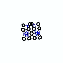 c1ccc(-c2nc(-c3ccccc3)nc(-c3c(-c4ccccc4)c(-c4ccccc4)c(-c4nc(-c5ccccc5)nc(-c5ccccc5)n4)c(-c4ccc5c(c4)c4ccccc4n5-c4ccccc4)c3-c3ccc4c(c3)c3ccccc3n4-c3ccccc3)n2)cc1